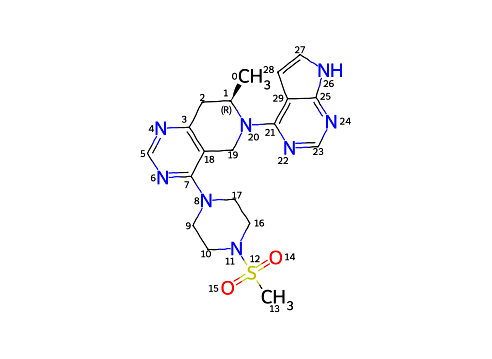 C[C@@H]1Cc2ncnc(N3CCN(S(C)(=O)=O)CC3)c2CN1c1ncnc2[nH]ccc12